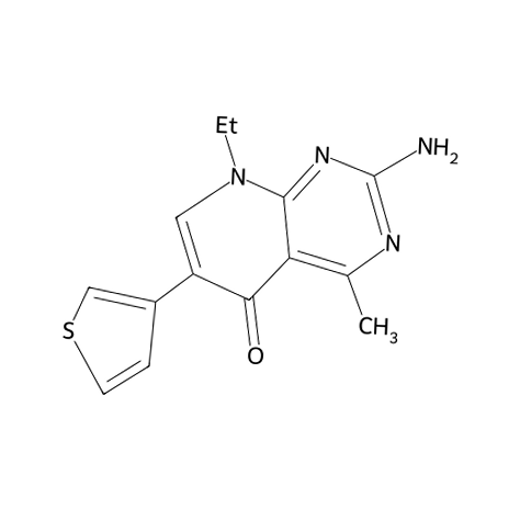 CCn1cc(-c2ccsc2)c(=O)c2c(C)nc(N)nc21